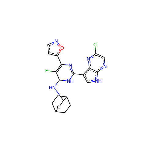 FC1=C(c2ccno2)N=C(c2c[nH]c3ncc(Cl)nc23)NC1NC1CC2CCC1CC2